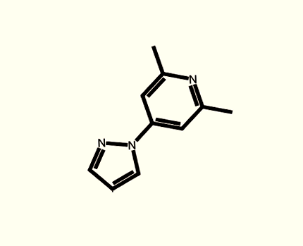 Cc1cc(-n2c[c]cn2)cc(C)n1